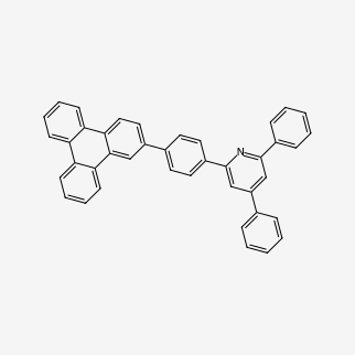 c1ccc(-c2cc(-c3ccccc3)nc(-c3ccc(-c4ccc5c6ccccc6c6ccccc6c5c4)cc3)c2)cc1